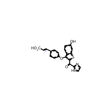 O=C(O)/C=C/c1ccc(Oc2c(C(=O)c3ncc[nH]3)sc3cc(O)ccc23)cc1